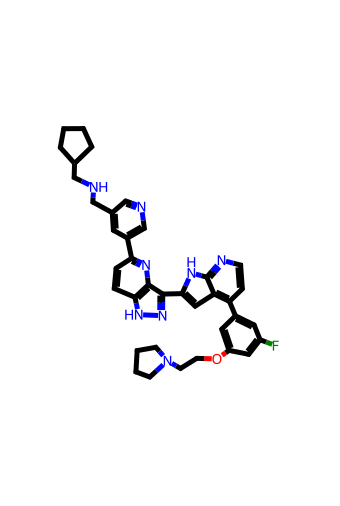 Fc1cc(OCCN2CCCC2)cc(-c2ccnc3[nH]c(-c4n[nH]c5ccc(-c6cncc(CNCC7CCCC7)c6)nc45)cc23)c1